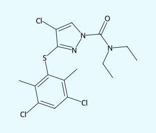 CCN(CC)C(=O)n1cc(Cl)c(Sc2c(C)c(Cl)cc(Cl)c2C)n1